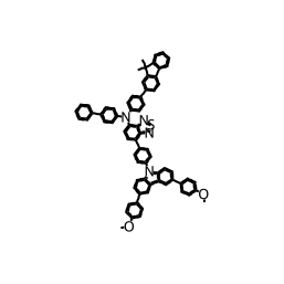 COc1ccc(-c2ccc3c(c2)c2cc(-c4ccc(OC)cc4)ccc2n3-c2ccc(-c3ccc(N(c4ccc(-c5ccccc5)cc4)c4ccc(-c5ccc6c(c5)C(C)(C)c5ccccc5-6)cc4)c4nsnc34)cc2)cc1